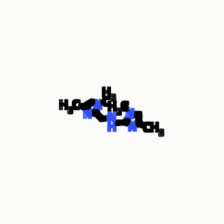 Cc1cn(C)c(CNCc2nc(C)cn2C)n1